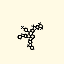 CC(C)(C)c1ccc(Nc2cc3c(cc2-c2ccc4c5cc6c(cc5n5c4c2Bc2cc4oc7ccccc7c4cc2-5)C(C)(C)c2ccccc2-6)-c2cc4c(cc2C3(C)C)C(C)(C)CCC4(C)C)cc1